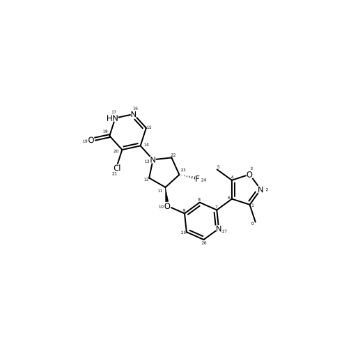 Cc1noc(C)c1-c1cc(O[C@H]2CN(c3cn[nH]c(=O)c3Cl)C[C@@H]2F)ccn1